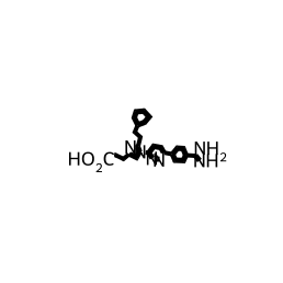 N=C(N)c1ccc(-c2ccc(-n3cc(CCC(=O)O)nc3CCc3ccccc3)nn2)cc1